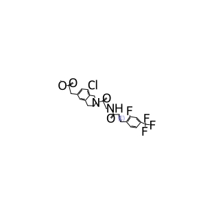 COC(=O)Cc1cc(Cl)c2c(c1)CCN(C(=O)CNC(=O)/C=C/c1ccc(C(F)(F)F)cc1F)C2